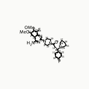 COc1cc2c(N)nc(N3CCN(C(=O)C[C@H](c4ccc(F)cc4)N4CCCCC4)CC3)nc2c(F)c1OC